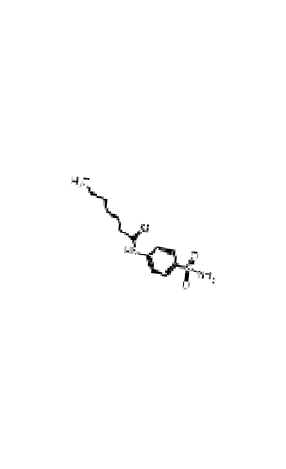 CCCCCCC(=O)Nc1ccc(S(N)(=O)=O)cc1